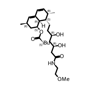 CC[C@H](C)C(=O)O[C@H]1C[C@@H](C)C=C2C=C[C@H](C)[C@H](CC[C@@H](O)C[C@@H](O)CC(=O)NCCOC)[C@H]21